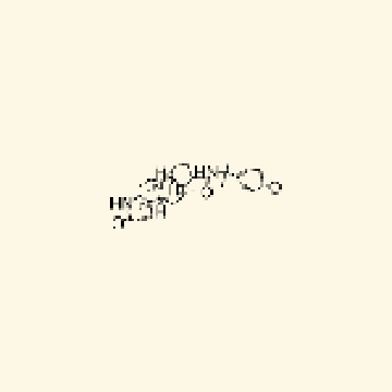 COc1ccc(C(C)(C)NC(=O)C2CC[C@H]3[C@@H]4CCC5NC(=O)C=C[C@]5(C)[C@@H]4CC[C@]23C)cc1